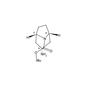 CC(C)(C)OC(=O)N1[C@@H]2CC[C@H]1C[C@@H](N)C2